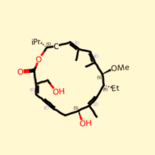 CC[C@@H]1/C=C(/C)[C@@H](O)C/C=C/C=C(\CO)C(=O)O[C@H](C(C)C)C/C=C(C)/C=C(\C)[C@H]1OC